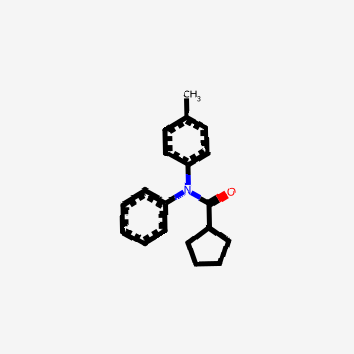 Cc1ccc(N(C(=O)C2CCCC2)c2ccccc2)cc1